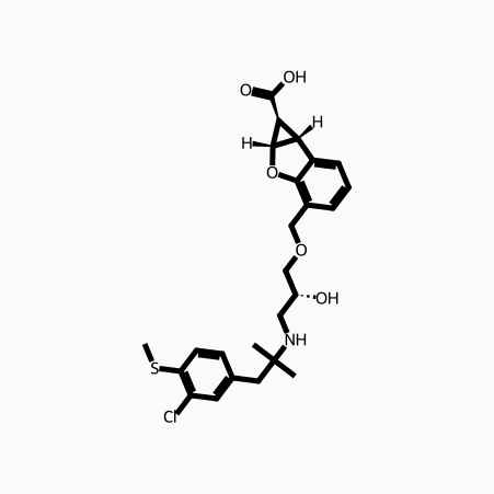 CSc1ccc(CC(C)(C)NC[C@@H](O)COCc2cccc3c2O[C@@H]2[C@@H](C(=O)O)[C@H]32)cc1Cl